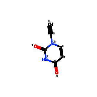 C#Cn1ccc(=O)[nH]c1=O